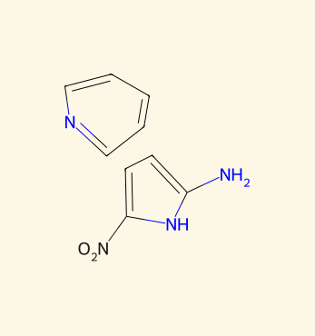 Nc1ccc([N+](=O)[O-])[nH]1.c1ccncc1